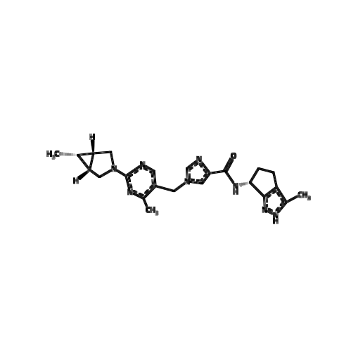 Cc1nc(N2C[C@@H]3[C@H](C)[C@@H]3C2)ncc1Cn1cnc(C(=O)N[C@@H]2CCc3c2n[nH]c3C)c1